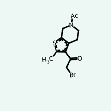 CC(=O)N1CCc2c(sc(C)c2C(=O)CBr)C1